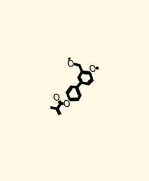 C=C(C)C(=O)Oc1ccc(-c2ccc(OC)c(COC)c2)cc1